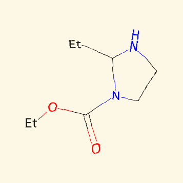 CCOC(=O)N1CCNC1CC